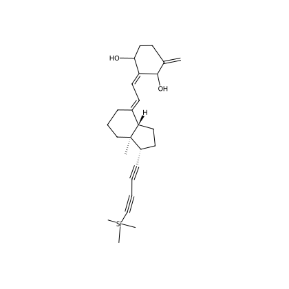 C=C1CCC(O)/C(=C/C=C2\CCC[C@]3(C)[C@@H](C#CC#C[Si](C)(C)C)CC[C@@H]23)C1O